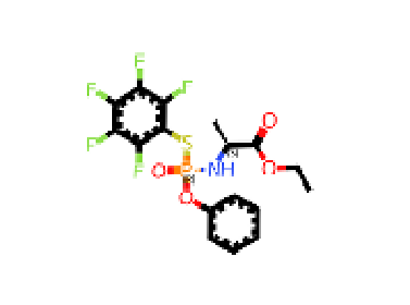 CCOC(=O)[C@H](C)N[P@@](=O)(Oc1ccccc1)Sc1c(F)c(F)c(F)c(F)c1F